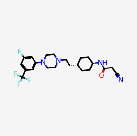 N#CCC(=O)N[C@H]1CC[C@H](CCN2CCN(c3cc(F)cc(C(F)(F)F)c3)CC2)CC1